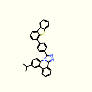 CC(C)c1ccc2c(c1)c1ccccc1c1nnc(-c3ccc(-c4cccc5c4sc4ccccc45)cc3)n21